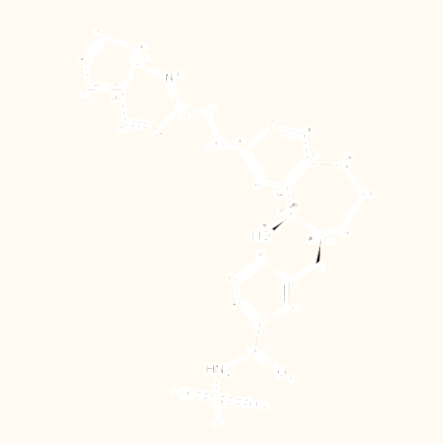 CS(=O)(=O)NC(=O)c1cccc(C[C@@H]2CCOc3ccc(OCc4ccc5ccccc5n4)cc3[C@@H]2O)c1